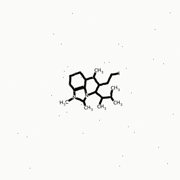 CC(C)C(C)C1C(CCI)C(C)C2CCCC3=C2N1C(C)N3C